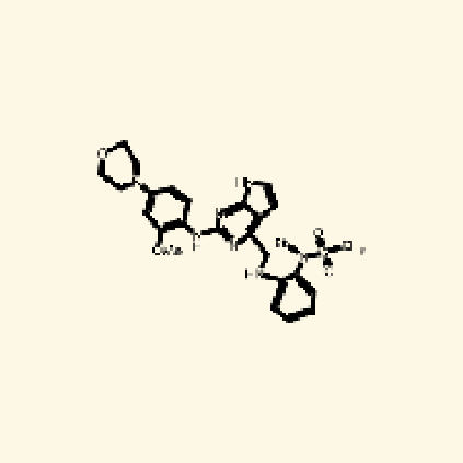 CCN(c1ccccc1NCc1nc(Nc2ccc(N3CCOCC3)cc2OC)nc2[nH]ccc12)S(C)(=O)=O